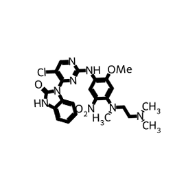 COc1cc(N(C)CCN(C)C)c([N+](=O)[O-])cc1Nc1ncc(Cl)c(-n2c(=O)[nH]c3ccccc32)n1